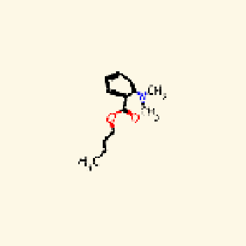 CCCCOC(=O)c1ccccc1N(C)C